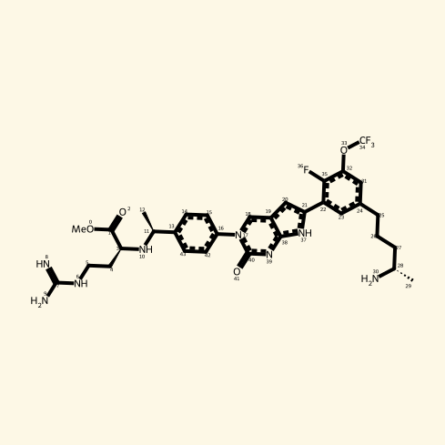 COC(=O)[C@H](CCNC(=N)N)N[C@@H](C)c1ccc(-n2cc3cc(-c4cc(CCC[C@H](C)N)cc(OC(F)(F)F)c4F)[nH]c3nc2=O)cc1